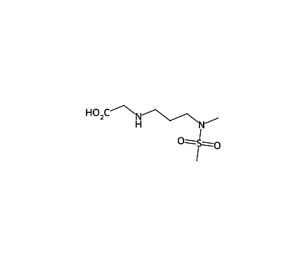 CN(CCCNCC(=O)O)S(C)(=O)=O